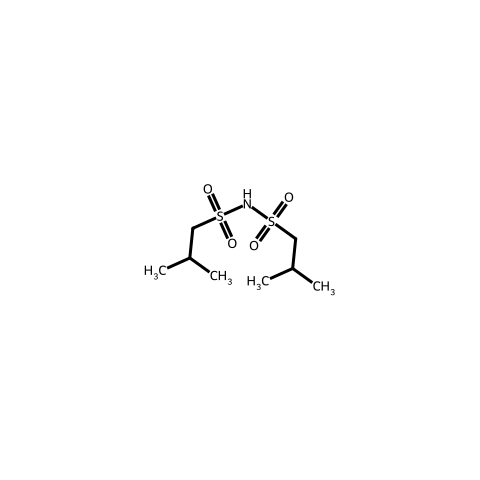 CC(C)CS(=O)(=O)NS(=O)(=O)CC(C)C